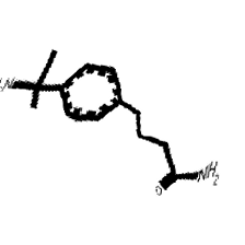 CC(C)(N)c1ccc(CCCC(N)=O)cc1